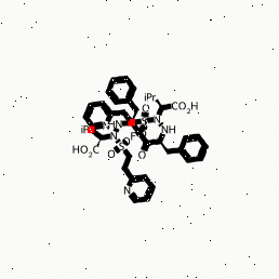 CC(C)[C@@H](C(=O)O)N(N[C@@H](Cc1ccccc1)C(=O)C(F)(F)[C@H](Cc1ccccc1)NN([C@H](C(=O)O)C(C)C)S(=O)(=O)CCc1ccccn1)S(=O)(=O)CCc1ccccn1